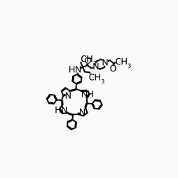 CCCC(CC)(Nc1ccc(-c2c3nc(c(-c4ccccc4)c4ccc([nH]4)c(-c4ccccc4)c4nc(c(-c5ccccc5)c5ccc2[nH]5)CC4)C=C3)cc1)C(=O)CN1CCN(CC(C)=O)CC1